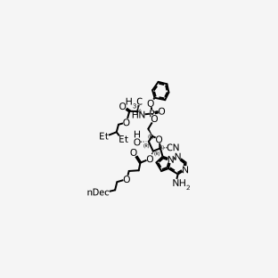 CCCCCCCCCCCCOCCC(=O)O[C@@H]1[C@H](O)[C@@H](COP(=O)(N[C@H](C)C(=O)OCC(CC)CC)Oc2ccccc2)O[C@@]1(C#N)c1ccc2c(N)ncnn12